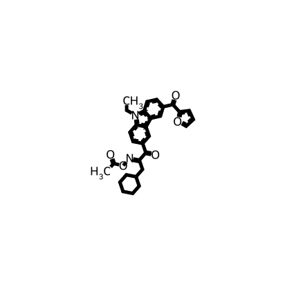 CCn1c2ccc(C(=O)C(CC3CCCCC3)=NOC(C)=O)cc2c2cc(C(=O)c3ccco3)ccc21